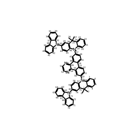 CC1(C)c2ccccc2N(c2ccc3c4ccc(N5c6ccccc6C(C)(C)c6cc(-n7c8ccccc8c8ccccc87)ccc65)cc4c4nccnc4c3c2)c2ccc(-n3c4ccccc4c4ccccc43)cc21